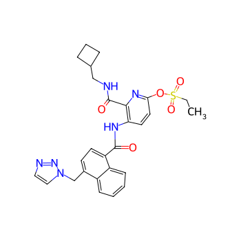 CCS(=O)(=O)Oc1ccc(NC(=O)c2ccc(Cn3ccnn3)c3ccccc23)c(C(=O)NCC2CCC2)n1